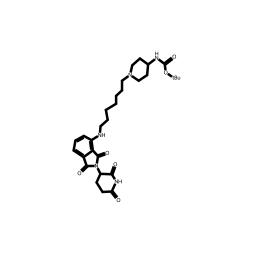 CC(C)(C)OC(=O)NC1CCN(CCCCCCCNc2cccc3c2C(=O)N(C2CCC(=O)NC2=O)C3=O)CC1